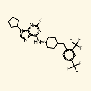 FC(F)(F)c1ccc(CC2CCN(Nc3nc(Cl)nc4c3ncn4C3CCCC3)CC2)c(C(F)(F)F)c1